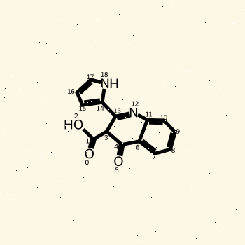 O=C(O)C1C(=O)c2ccccc2N=C1c1ccc[nH]1